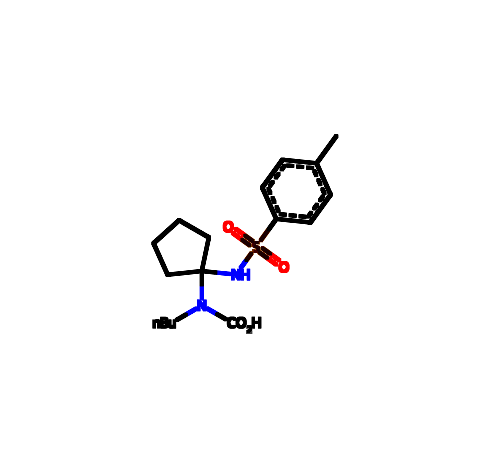 CCCCN(C(=O)O)C1(NS(=O)(=O)c2ccc(C)cc2)CCCC1